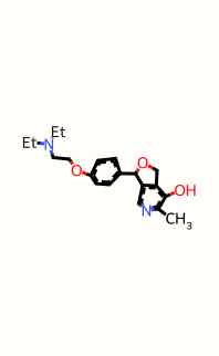 CCN(CC)CCOc1ccc(C2OCc3c2cnc(C)c3O)cc1